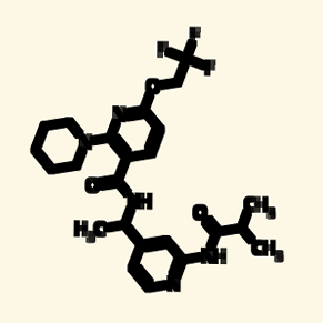 CC(C)C(=O)Nc1cc(C(C)NC(=O)c2ccc(OCC(F)(F)F)nc2N2CCCCC2)ccn1